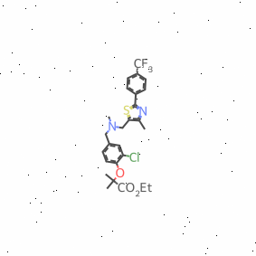 CCOC(=O)C(C)(C)Oc1ccc(CN(C)Cc2sc(-c3ccc(C(F)(F)F)cc3)nc2C)cc1Cl